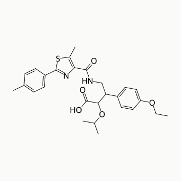 CCOc1ccc(C(CNC(=O)c2nc(-c3ccc(C)cc3)sc2C)C(OC(C)C)C(=O)O)cc1